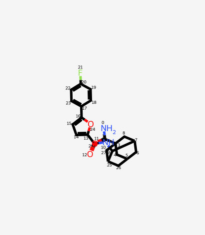 NC(=O)C12CC3CC(C1)C(NC(=O)c1ccc(-c4ccc(F)cc4)o1)C(C3)C2